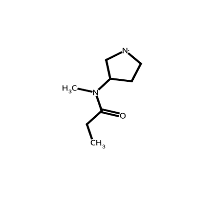 CCC(=O)N(C)C1CC[N]C1